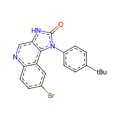 CC(C)(C)c1ccc(-n2c(=O)[nH]c3cnc4ccc(Br)cc4c32)cc1